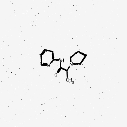 CC(C(=O)Nc1cc[c]cn1)N1CCCC1